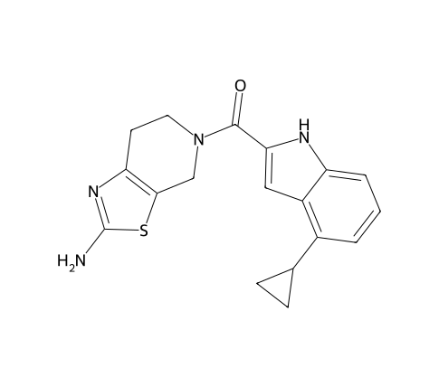 Nc1nc2c(s1)CN(C(=O)c1cc3c(C4CC4)cccc3[nH]1)CC2